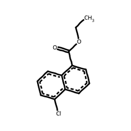 CCOC(=O)c1cccc2c(Cl)cccc12